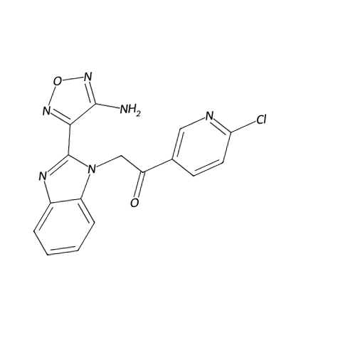 Nc1nonc1-c1nc2ccccc2n1CC(=O)c1ccc(Cl)nc1